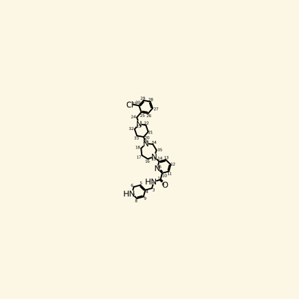 O=C(NCC1=CCNC=C1)c1cccc(N2CCCN(C3CCN(Cc4ccccc4Cl)CC3)CC2)n1